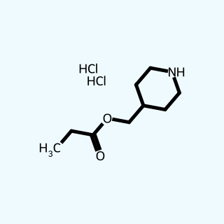 CCC(=O)OCC1CCNCC1.Cl.Cl